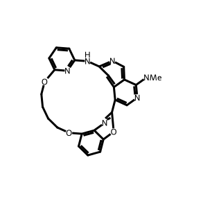 CNc1ncc2c3cc(ncc13)Nc1cccc(n1)OCCCCOc1cccc3oc-2nc13